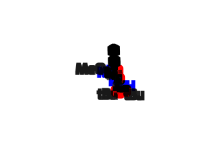 CON=C1C[C@@H](c2noc([C@H](COC(C)(C)C)NC(=O)OC(C)(C)C)n2)N(C(=O)c2ccc(-c3ccccc3)cc2)C1